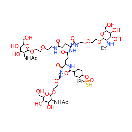 CCNC1C(OCCOCCNC(=O)C(CCC(=O)NCCOCCOC2OC(CO)C(O)C(O)C2NC(C)=O)NC(=O)CCC(NC(=O)C2CCC(OP(=O)(S)C(C)C)CC2)C(=O)NCCOCCOC2OC(CO)C(O)C(O)C2NC(C)=O)OC(CO)C(O)C1O